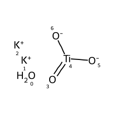 O.[K+].[K+].[O]=[Ti]([O-])[O-]